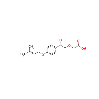 CC(C)=CCOc1ccc(C(=O)COCC(=O)O)cc1